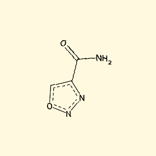 NC(=O)c1conn1